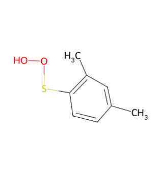 Cc1ccc(SOO)c(C)c1